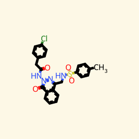 Cc1ccc(S(=O)(=O)NCc2nn(NC(=O)Cc3ccc(Cl)cc3)c(=O)c3ccccc23)cc1